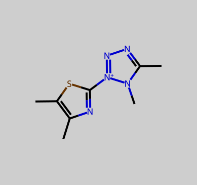 Cc1nc(-[n+]2nnc(C)n2C)sc1C